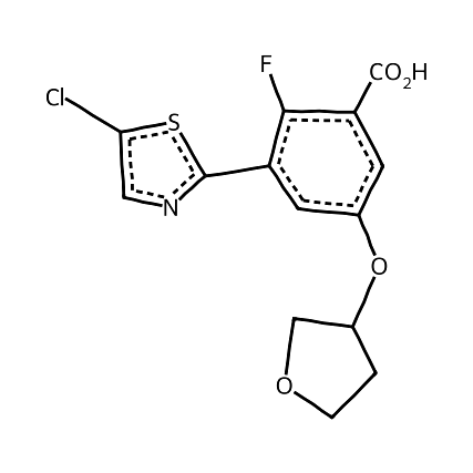 O=C(O)c1cc(OC2CCOC2)cc(-c2ncc(Cl)s2)c1F